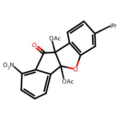 CC(=O)OC12Oc3cc(C(C)C)ccc3C1(OC(C)=O)C(=O)c1c([N+](=O)[O-])cccc12